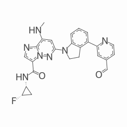 CNc1cc(N2CCc3c(-c4cc(C=O)ccn4)cccc32)nn2c(C(=O)N[C@@H]3C[C@@H]3F)cnc12